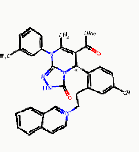 COC(=O)C1=C(C)N(c2cccc(C(F)(F)F)c2)c2n[nH]c(=O)n2[C@@H]1c1ccc(C#N)cc1CC[n+]1ccc2ccccc2c1